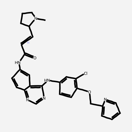 CN1CCCC1/C=C/C(=O)Nc1ccc2ncnc(Nc3ccc(OCc4ccccn4)c(Cl)c3)c2c1